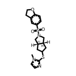 Cn1ccnc1SC1C[C@@H]2CN(S(=O)(=O)c3ccc4c(c3)CCO4)C[C@@H]2C1